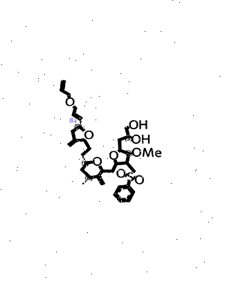 C=CCOC/C=C/[C@H]1CC(=C)C(CC[C@H]2C[C@@H](C)C(=C)C(CC3OC(C[C@H](O)CO)[C@H](OC)C3CS(=O)(=O)c3ccccc3)O2)O1